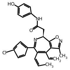 C=CC1=C(/C=C\C)C(c2ccc(Cl)cc2)=N[C@@H](CC(=O)Nc2ccc(O)cc2)c2onc(C)c21